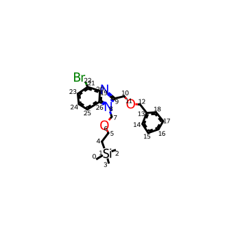 C[Si](C)(C)CCOCn1c(COCc2ccccc2)nc2c(Br)cccc21